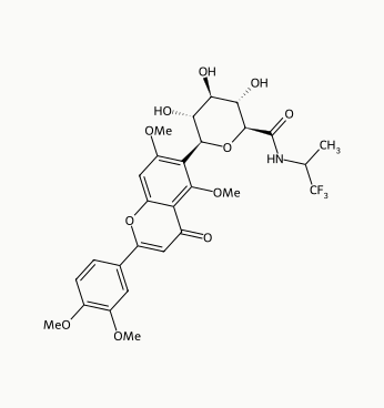 COc1ccc(-c2cc(=O)c3c(OC)c([C@@H]4O[C@H](C(=O)NC(C)C(F)(F)F)[C@@H](O)[C@H](O)[C@H]4O)c(OC)cc3o2)cc1OC